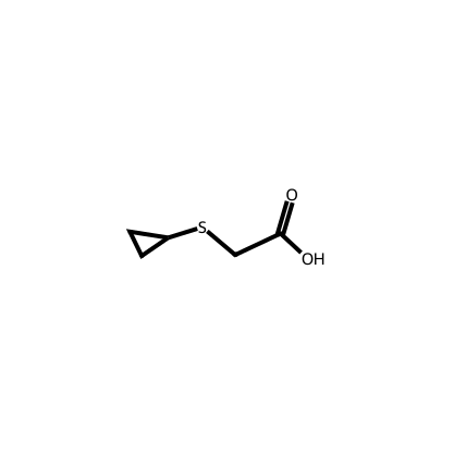 O=C(O)CSC1CC1